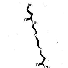 O=C(O)CCOCCOCCNC(=O)C=CBr